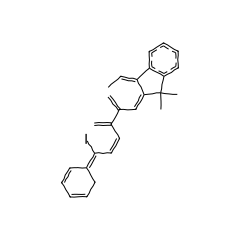 C=C(/C=C\C(I)=C1\C=CC=CC1)C(=C)/C=C1\C(=C/C)c2ccccc2C1(C)C